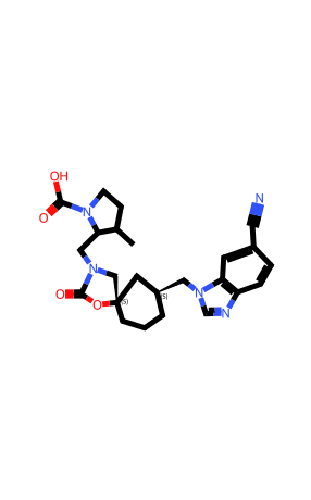 CC1CCN(C(=O)O)C1CN1C[C@@]2(CCC[C@H](Cn3cnc4ccc(C#N)cc43)C2)OC1=O